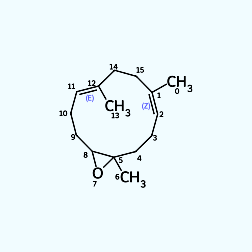 C/C1=C/CCC2(C)OC2CC/C=C(\C)CC1